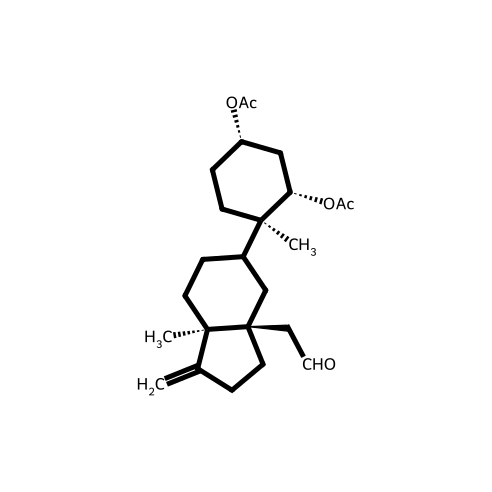 C=C1CC[C@@]2(CC=O)CC([C@@]3(C)CC[C@H](OC(C)=O)C[C@@H]3OC(C)=O)CC[C@]12C